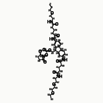 CCCOCCNC(=O)CCCC(=O)Nc1ccc2c(c1)C(COC(=O)ON1C(=O)CCC1=O)c1cc(NC(=O)CCCC(=O)NCCOCCOCC)ccc1-2